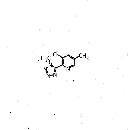 Cc1cnc(-c2nnnn2C)c(Cl)c1